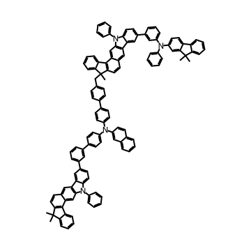 CC1(C)c2ccccc2-c2ccc(N(c3ccccc3)c3cccc(-c4ccc5c(c4)c4cc6ccc7c(c6cc4n5-c4ccccc4)-c4ccccc4C7(C)Cc4ccc(-c5ccc(N(c6ccc(-c7cccc(-c8ccc9c(c8)c8cc%10ccc%11c(c%10cc8n9-c8ccccc8)-c8ccccc8C%11(C)C)c7)cc6)c6ccc7ccccc7c6)cc5)cc4)c3)cc21